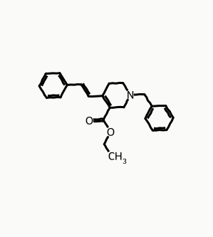 CCOC(=O)C1=C(/C=C/c2ccccc2)CCN(Cc2ccccc2)C1